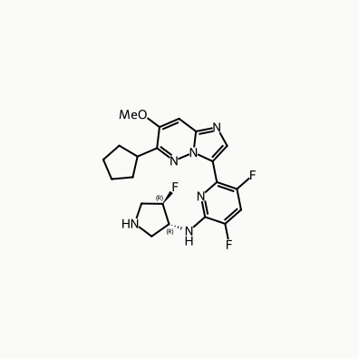 COc1cc2ncc(-c3nc(N[C@@H]4CNC[C@H]4F)c(F)cc3F)n2nc1C1CCCC1